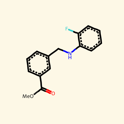 COC(=O)c1cccc(CNc2ccccc2F)c1